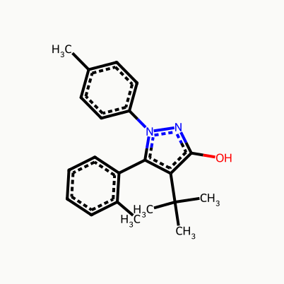 Cc1ccc(-n2nc(O)c(C(C)(C)C)c2-c2ccccc2C)cc1